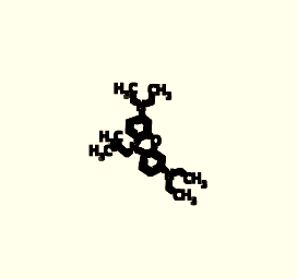 CCN(CC)c1ccc2c(c1)Oc1cc(N(CC)CC)ccc1N2CC(C)C